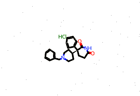 Cl.O=C1CC[C@@](c2ccccc2)(C2CCN(Cc3ccccc3)CC2)C(=O)N1